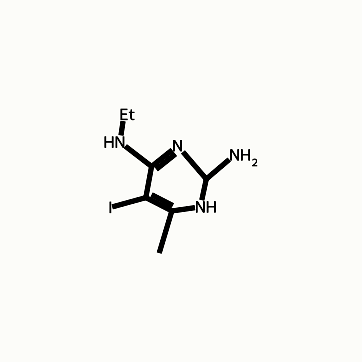 CCNC1=NC(N)NC(C)=C1I